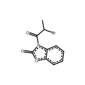 CC(Br)C(=O)n1c(=O)oc2ccccc21